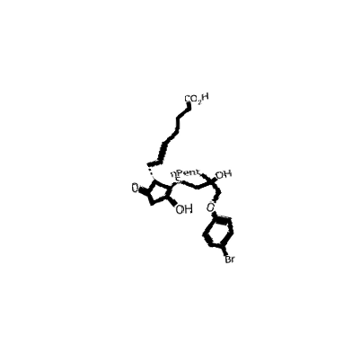 CCCCCC(O)(COc1ccc(Br)cc1)CS[C@H]1C(O)CC(=O)[C@@H]1CC=CCCCC(=O)O